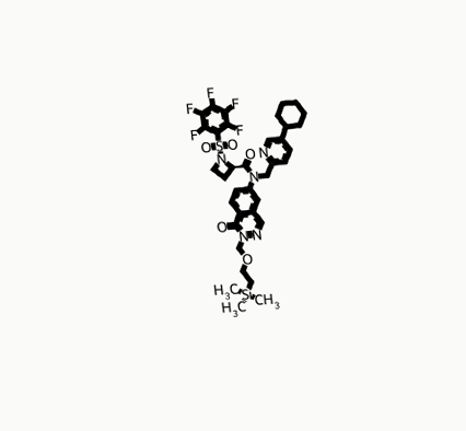 C[Si](C)(C)CCOCn1ncc2cc(N(Cc3ccc(C4CCCCC4)cn3)C(=O)[C@H]3CCN3S(=O)(=O)c3c(F)c(F)c(F)c(F)c3F)ccc2c1=O